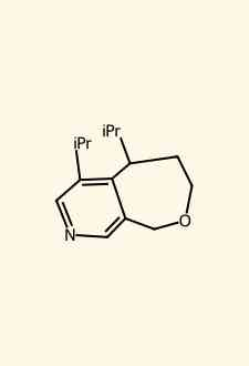 CC(C)c1cncc2c1C(C(C)C)CCOC2